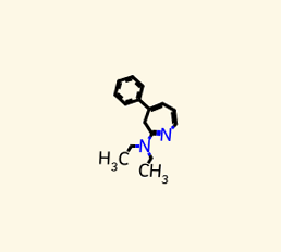 CCN(CC)C1=NC=CC=C(c2ccccc2)C1